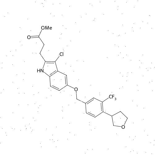 COC(=O)CCc1[nH]c2ccc(OCc3ccc(C4CCOC4)c(C(F)(F)F)c3)cc2c1Cl